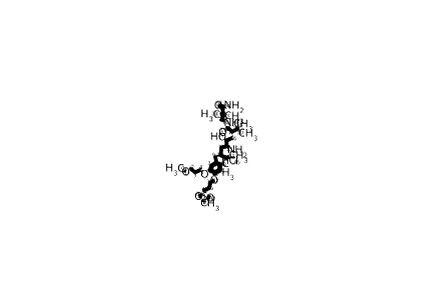 COCCCOc1cc(C[C@@H](C[C@H](N)[C@@H](O)C[C@H](C(=O)NCC(C)(C)C(N)=O)C(C)C)C(C)C)ccc1OCCCS(C)(=O)=O.Cl